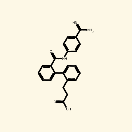 N=C(N)c1ccc(NC(=O)c2ccccc2-c2ccccc2CCC(=O)O)cc1